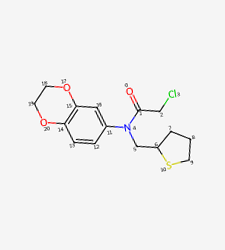 O=C(CCl)N(CC1CCCS1)c1ccc2c(c1)OCCO2